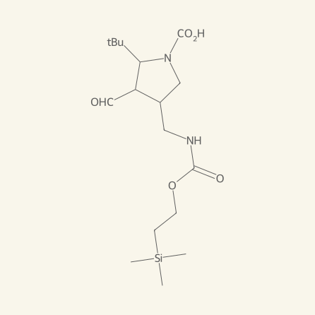 CC(C)(C)C1C(C=O)C(CNC(=O)OCC[Si](C)(C)C)CN1C(=O)O